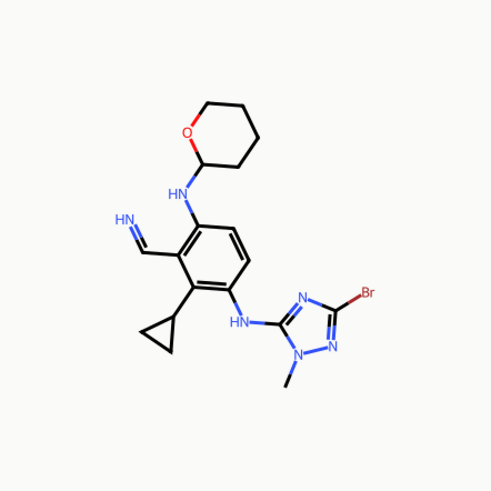 Cn1nc(Br)nc1Nc1ccc(NC2CCCCO2)c(C=N)c1C1CC1